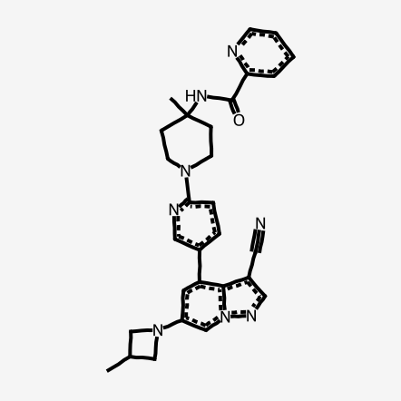 CC1CN(c2cc(-c3ccc(N4CCC(C)(NC(=O)c5ccccn5)CC4)nc3)c3c(C#N)cnn3c2)C1